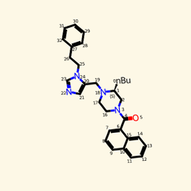 CCCC[C@H]1CN(C(=O)c2cccc3ccccc23)CCN1Cc1cncn1CCc1ccccc1